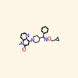 Cn1c(=O)cc(N2CCC(/C(=N/OCC3CC3)c3ccccc3)CC2)c2ncccc21